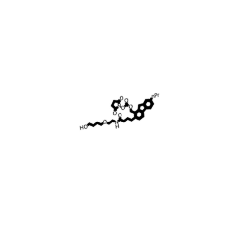 CCCc1ccc2c(c1)Cc1c-2ccc(CCCC(=O)NCCOCCCCO)c1COC(=O)ON1C(=O)CCC1=O